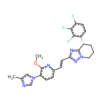 COc1nc(/C=C/c2nc3n(n2)CCC[C@H]3c2ccc(F)c(F)c2F)ccc1-n1cnc(C)c1